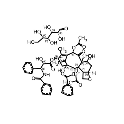 CC(=O)O[C@H]1C(=O)[C@@]2(C)[C@H]([C@H](OC(=O)c3ccccc3)[C@]3(O)C[C@H](OC(=O)[C@H](O)[C@@H](NC(=O)c4ccccc4)c4ccccc4)C(C)=C1C3(C)C)[C@]1(OC(C)=O)CO[C@@H]1C[C@@H]2O.O=C[C@H](O)[C@@H](O)[C@@H](O)[C@H](O)CO